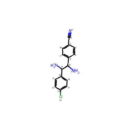 N#Cc1ccc(C(N)C(N)c2ccc(Cl)cc2)cc1